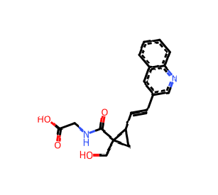 O=C(O)CNC(=O)C1(CO)CC1C=Cc1cnc2ccccc2c1